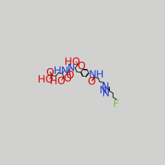 CN(C(=O)NC(CCC(=O)O)C(=O)O)C(Cc1ccc(NC(=O)CCCn2cc(CCCF)nn2)cc1)C(=O)O